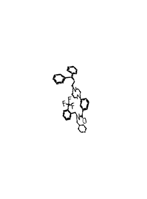 O=C(c1cccc(N2CCN(CCC(c3ccccc3)c3ccccc3)CC2)c1)N(Cc1ccccc1C(F)(F)F)CC1CCCCC1